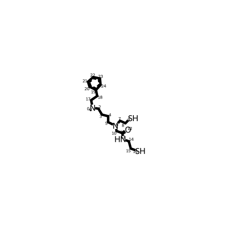 CN(CCCCN(CCS)CC(=O)NCCS)CCc1ccccc1